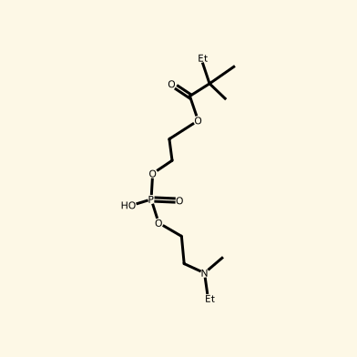 CCN(C)CCOP(=O)(O)OCCOC(=O)C(C)(C)CC